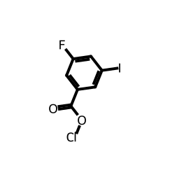 O=C(OCl)c1cc(F)cc(I)c1